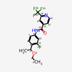 CCO[C@@H](C)c1ccc(NC(=O)c2ccnc(C(F)(F)F)c2)cc1F